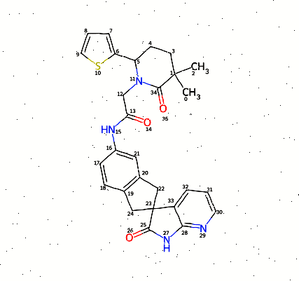 CC1(C)CCC(c2cccs2)N(CC(=O)Nc2ccc3c(c2)CC2(C3)C(=O)Nc3ncccc32)C1=O